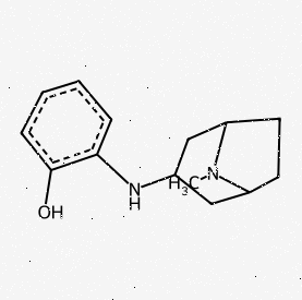 CN1C2CCC1CC(Nc1ccccc1O)C2